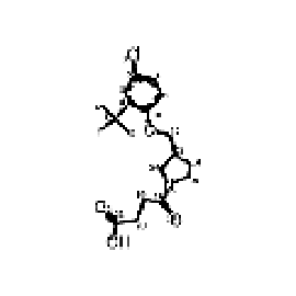 CC(C)(C)c1cc(Cl)ccc1OCC1CCN(C(=O)CCC(=O)O)C1